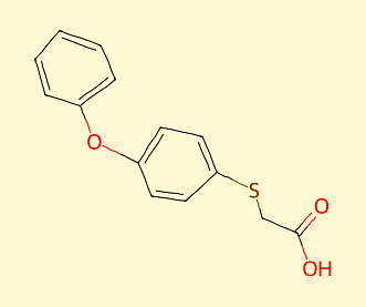 O=C(O)CSc1ccc(Oc2ccccc2)cc1